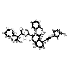 Cc1ccccc1-n1c(C(C)NC(=O)c2c(C)nn3cccnc23)cc2cccc(C#Cc3cnn(C)c3)c2c1=O